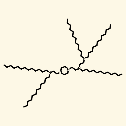 CCCCCCCCCCCCCN(CCCCCCCCCCCC)CCN1CCN(CCN(CCCCCCCCCCCC)CCN(CCCCCCCCCCCC)CCCCCCCCCCCC)CC1